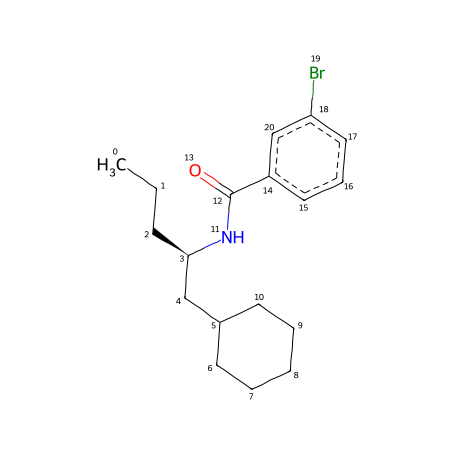 CCC[C@H](CC1CCCCC1)NC(=O)c1cccc(Br)c1